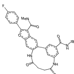 CNC(=O)c1c(-c2ccc(F)cc2)oc2cc3c(cc12)-c1cc(cc(C(=O)NC(C)(C)C)c1)NC(=O)CCC(=O)N3